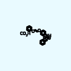 O=C(O)c1ccccc1OCCOc1ccc(NS(=O)(=O)Cc2ccccc2)cc1